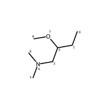 CCC(CN(C)C)OC